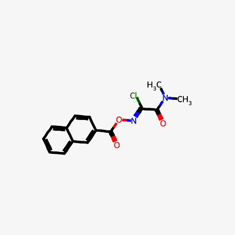 CN(C)C(=O)C(Cl)=NOC(=O)c1ccc2ccccc2c1